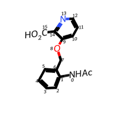 CC(=O)Nc1ccccc1COc1cccnc1C(=O)O